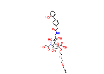 C#CCOCCOCCO[C@]1(C(=O)O)C[C@H](O)[C@@H](NC(=O)CO)[C@H]([C@H](O)[C@H](O)CNC(=O)Cc2ccc(-c3ccccc3O)cc2)O1